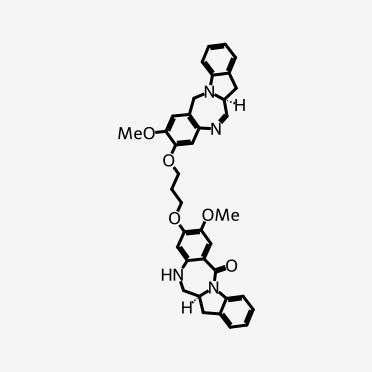 COc1cc2c(cc1OCCCOc1cc3c(cc1OC)C(=O)N1c4ccccc4C[C@H]1CN3)N=C[C@@H]1Cc3ccccc3N1C2